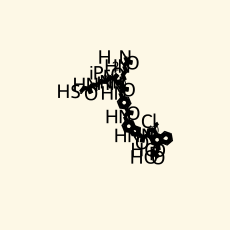 CC(C)[C@H](NCCNC(=O)CCS)C(=O)N[C@@H](CCCNC(N)=O)C(=O)Nc1ccc(C(=O)Nc2ccc3[nH]c(C(=O)N4C[C@@H](CCl)c5c4cc(OP(=O)(O)O)c4ccccc54)cc3c2)cc1